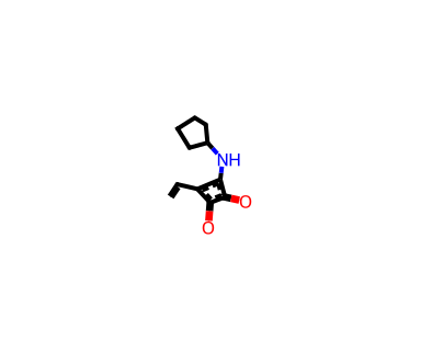 C=Cc1c(NC2CCCC2)c(=O)c1=O